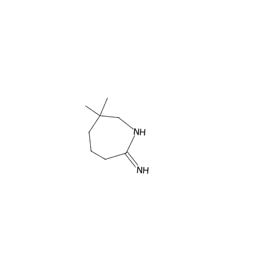 CC1(C)CCCC(=N)NC1